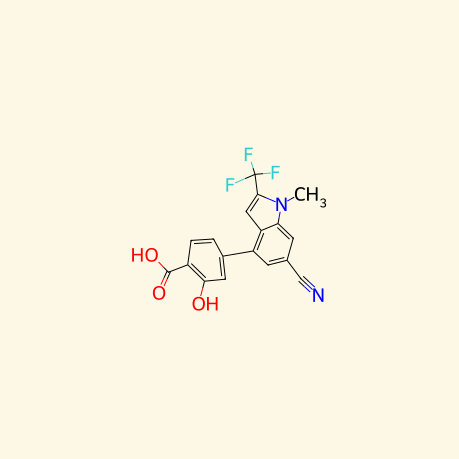 Cn1c(C(F)(F)F)cc2c(-c3ccc(C(=O)O)c(O)c3)cc(C#N)cc21